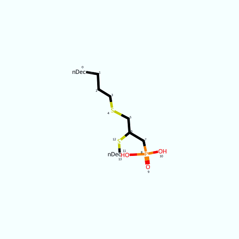 CCCCCCCCCCCCCSCC(CP(=O)(O)O)SCCCCCCCCCC